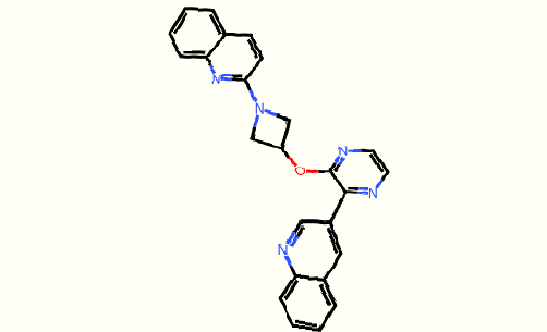 c1ccc2ncc(-c3nccnc3OC3CN(c4ccc5ccccc5n4)C3)cc2c1